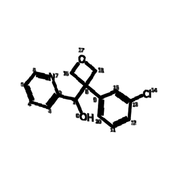 OC(c1ccccn1)C1(c2cccc(Cl)c2)COC1